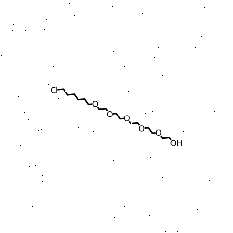 OCCOCCOCCOCCOCCOCCCCCCCl